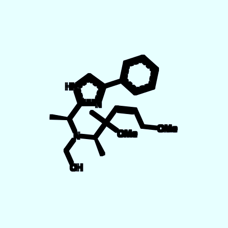 COC/C=C\C(C)(OC)[C@@H](C)N(CO)[C@@H](C)c1nc(-c2ccccc2)c[nH]1